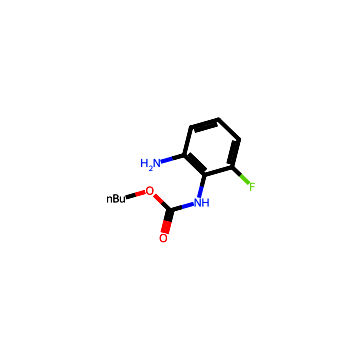 CCCCOC(=O)Nc1c(N)cccc1F